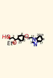 CCOC(CCO)c1ccc(OCCn2cnc3ccccc32)cc1